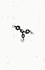 COc1ccc(-c2cc(-c3ccc(Cl)cc3)sc2-c2ccc(OC)cc2)cc1